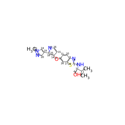 CC(C)[C@@H](CO)Nc1nc2ccc(Oc3ccnc(-c4cnn(C)c4)c3)cc2s1